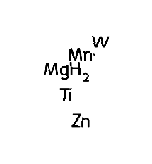 [MgH2].[Mn].[Ti].[W].[Zn]